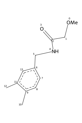 COCC(=O)NCc1ccc(C)c(C)c1